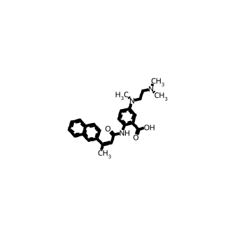 C/C(=C/C(=O)Nc1ccc(N(C)CCN(C)C)cc1C(=O)O)c1ccc2ccccc2c1